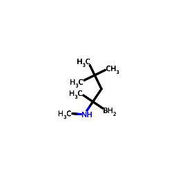 BC(C)(CC(C)(C)C)NC